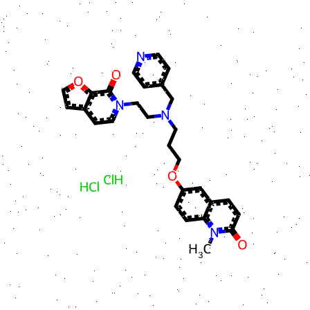 Cl.Cl.Cn1c(=O)ccc2cc(OCCCN(CCn3ccc4ccoc4c3=O)Cc3ccncc3)ccc21